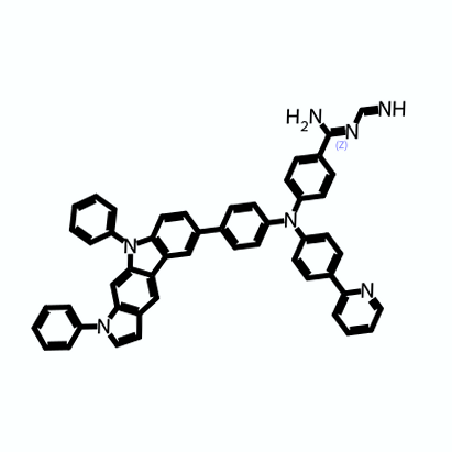 N=C/N=C(\N)c1ccc(N(c2ccc(-c3ccc4c(c3)c3cc5ccn(-c6ccccc6)c5cc3n4-c3ccccc3)cc2)c2ccc(-c3ccccn3)cc2)cc1